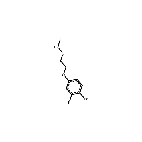 Fc1cc(OCCOPI)ccc1Br